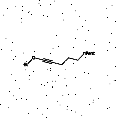 C[CH]OC#CCCCCCCCC